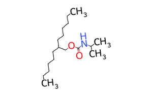 CCCCCCC(CCCCCC)COC(=O)NC(C)C